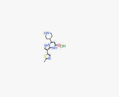 Cc1ncc(-c2cnn3c(C4CCNCC4)cc(=O)[nH]c23)s1.Cl